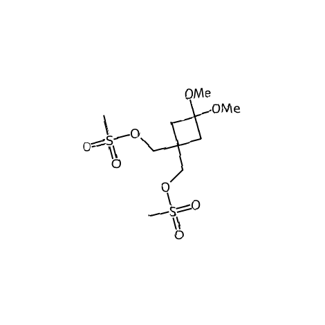 COC1(OC)CC(COS(C)(=O)=O)(COS(C)(=O)=O)C1